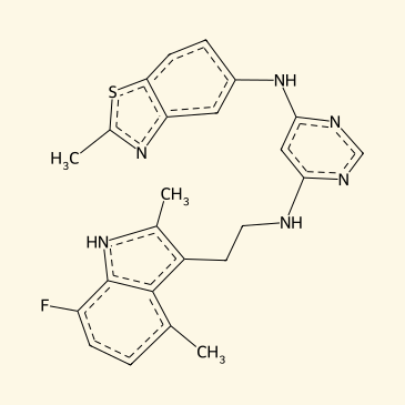 Cc1nc2cc(Nc3cc(NCCc4c(C)[nH]c5c(F)ccc(C)c45)ncn3)ccc2s1